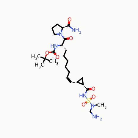 CN(CN)S(=O)(=O)NC(=O)[C@H]1C[C@H]1/C=C\CCCCC[C@H](NC(=O)OC(C)(C)C)C(=O)N1CCC[C@H]1C(N)=O